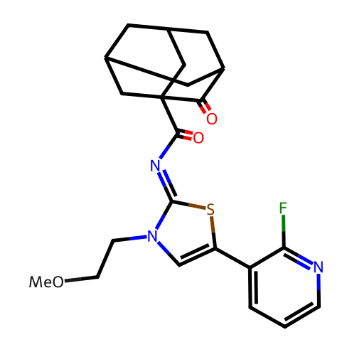 COCCn1cc(-c2cccnc2F)s/c1=N\C(=O)C12CC3CC(CC(C3)C1=O)C2